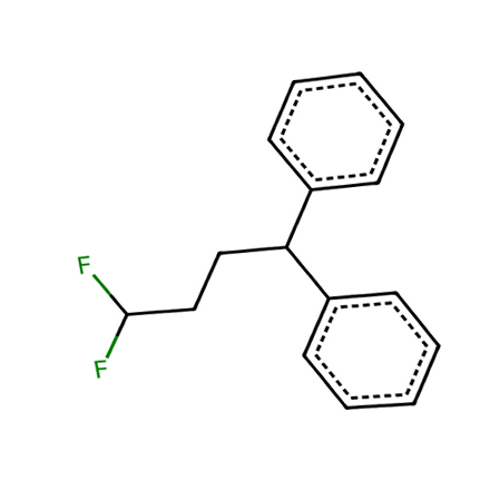 FC(F)CCC(c1ccccc1)c1ccccc1